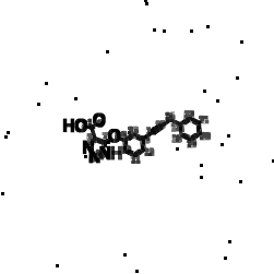 O=C(O)c1nn[nH]c1Oc1cccc(C#CCc2ccccc2)c1